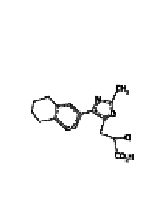 Cc1nc(-c2ccc3c(c2)CCCC3)c(CC(Cl)C(=O)O)o1